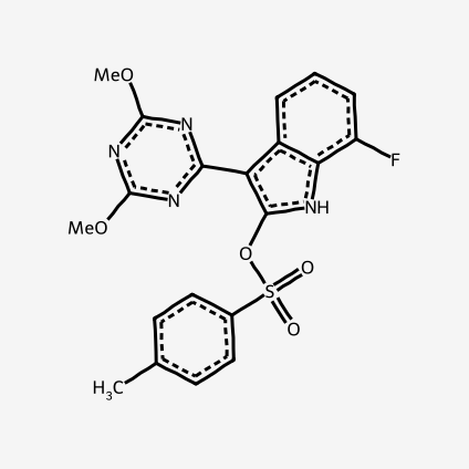 COc1nc(OC)nc(-c2c(OS(=O)(=O)c3ccc(C)cc3)[nH]c3c(F)cccc23)n1